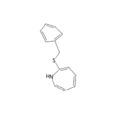 C1=CC=C(SCc2ccccc2)NC=C1